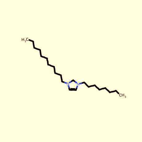 CCCCCCCCCCCN1C=CN(CCCCCCCC)C1